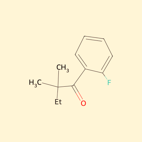 CCC(C)(C)C(=O)c1ccccc1F